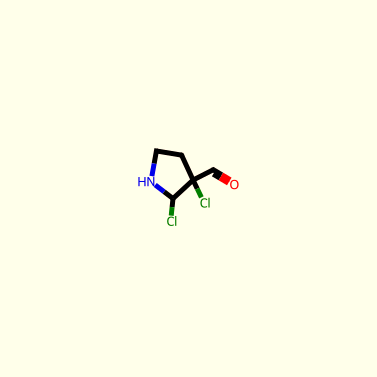 O=CC1(Cl)CCNC1Cl